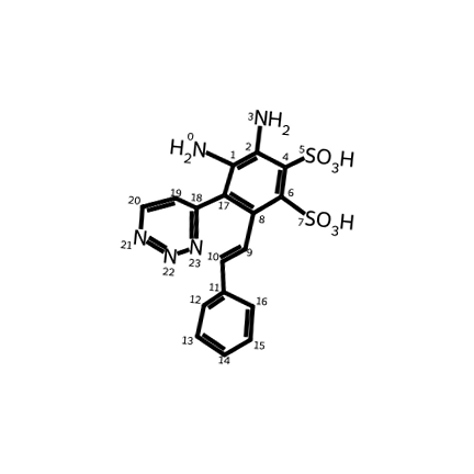 Nc1c(N)c(S(=O)(=O)O)c(S(=O)(=O)O)c(C=Cc2ccccc2)c1-c1ccnnn1